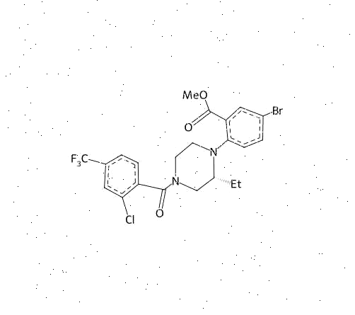 CC[C@@H]1CN(C(=O)c2ccc(C(F)(F)F)cc2Cl)CCN1c1ccc(Br)cc1C(=O)OC